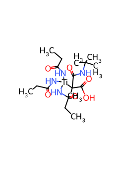 CCC(=O)[NH][Ti]([NH]C(=O)CC)([NH]C(=O)CC)[C](C)(C(=O)O)C(=O)NC(C)(C)C